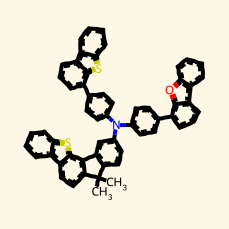 CC1(C)c2ccc(N(c3ccc(-c4cccc5c4oc4ccccc45)cc3)c3ccc(-c4cccc5c4sc4ccccc45)cc3)cc2-c2c1ccc1c2sc2ccccc21